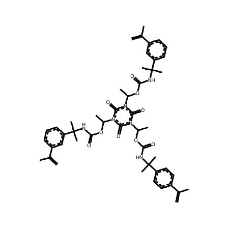 C=C(C)c1ccc(C(C)(C)NC(=O)OC(C)n2c(=O)n(C(C)OC(=O)NC(C)(C)c3cccc(C(=C)C)c3)c(=O)n(C(C)OC(=O)NC(C)(C)c3cccc(C(=C)C)c3)c2=O)cc1